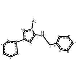 CC(=O)n1nc(-c2ccccc2)cc1NCc1ccccc1